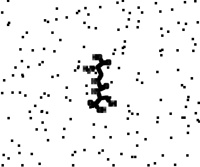 N[C@@H](CNC(=O)NC(CS)C(=O)O)C(=O)O